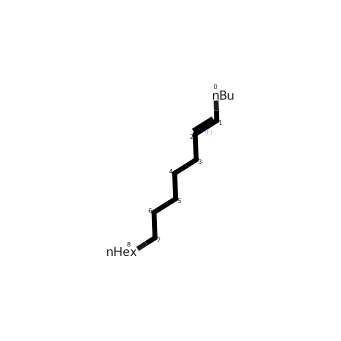 [CH2]CCC/C=C/CCCCCCCCCCC